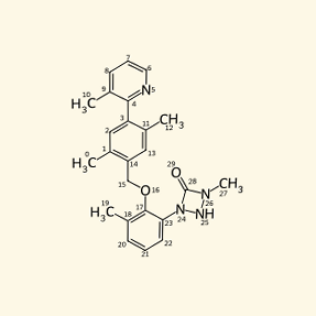 Cc1cc(-c2ncccc2C)c(C)cc1COc1c(C)cccc1-n1[nH]n(C)c1=O